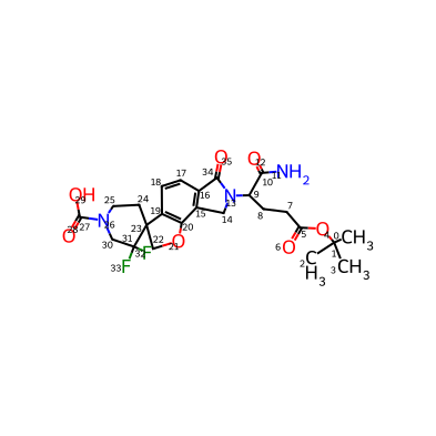 CC(C)(C)OC(=O)CCC(C(N)=O)N1Cc2c(ccc3c2OCC32CCN(C(=O)O)CC2(F)F)C1=O